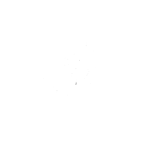 Cc1cnn(C)c1-c1cnc2c3ccc([C@](C)(O)C4CC4)c(F)c3n([C@H](c3ccccc3)C3CCOCC3)c2c1